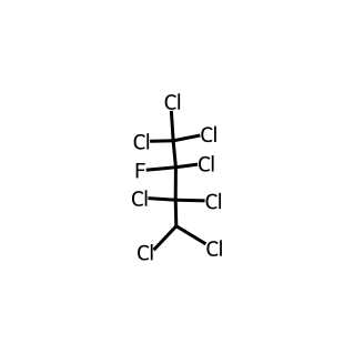 FC(Cl)(C(Cl)(Cl)Cl)C(Cl)(Cl)C(Cl)Cl